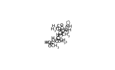 CC(C)C1=C2[C@H]3CC[C@@H]4[C@@]5(C)CC[C@H](OC(=O)CC(C)(C)C(=O)O)C(C)(C)C5CC[C@@]4(C)[C@]3(C)CCC2(C(O)CNC2CCCCC2)CC1=O